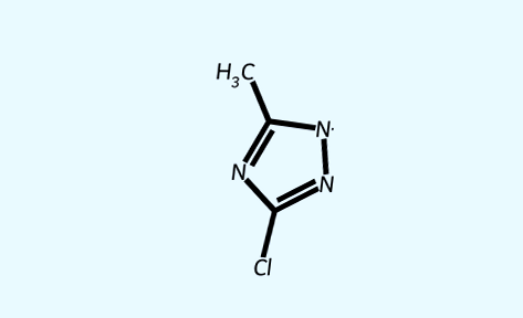 CC1=NC(Cl)=N[N]1